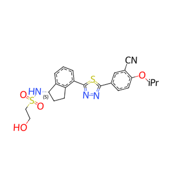 CC(C)Oc1ccc(-c2nnc(-c3cccc4c3CC[C@@H]4NS(=O)(=O)CCO)s2)cc1C#N